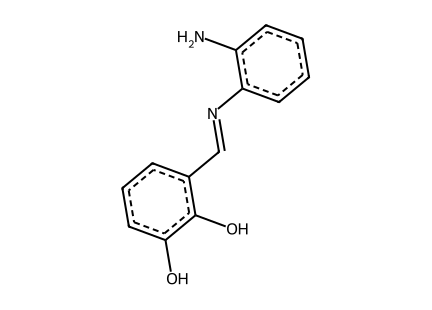 Nc1ccccc1N=Cc1cccc(O)c1O